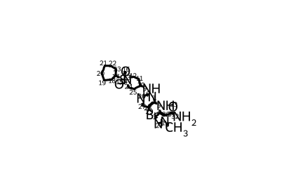 Cn1ncc(Nc2nc(NC3CCN(S(=O)(=O)C4CCCCCC4)CC3)ncc2Br)c1C(N)=O